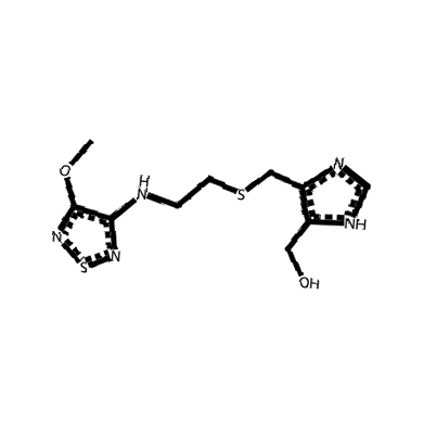 COc1nsnc1NCCSCc1nc[nH]c1CO